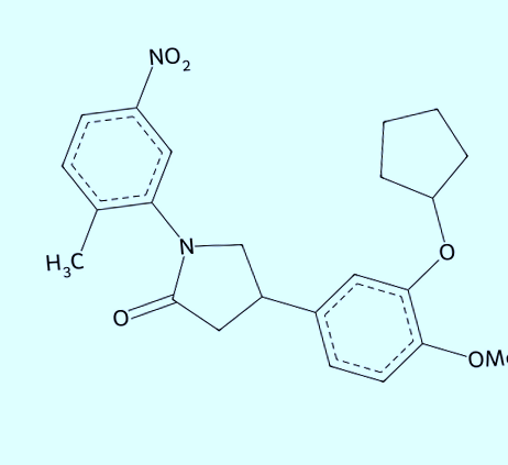 COc1ccc(C2CC(=O)N(c3cc([N+](=O)[O-])ccc3C)C2)cc1OC1CCCC1